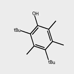 Cc1c(C)c(C(C)(C)C)c(C)c(C(C)(C)C)c1O